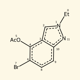 CCn1cc2c(OC(C)=O)c(Br)ccc2n1